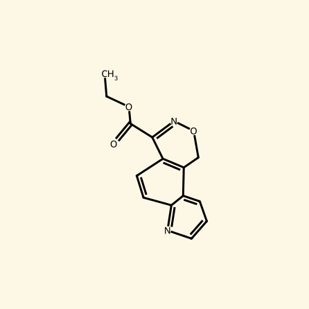 CCOC(=O)C1=NOCc2c1ccc1ncccc21